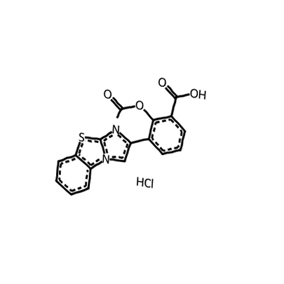 CC(=O)Oc1c(C(=O)O)cccc1-c1cn2c(n1)sc1ccccc12.Cl